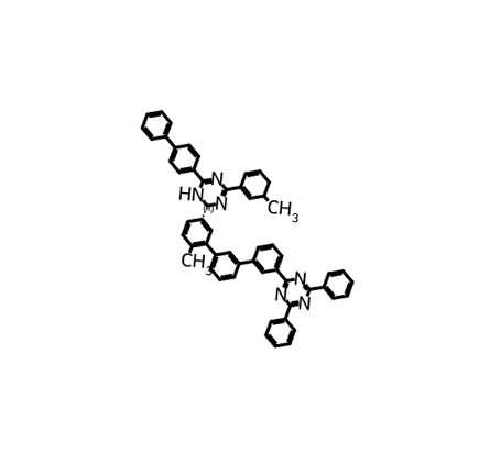 Cc1ccc([C@H]2N=C(C3=CC(C)CC=C3)N=C(c3ccc(-c4ccccc4)cc3)N2)cc1-c1cccc(-c2cccc(-c3nc(-c4ccccc4)nc(-c4ccccc4)n3)c2)c1